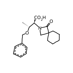 C[C@@H](OCc1ccccc1)[C@@H](C(=O)O)N1CC2(CCCCC2)C1=O